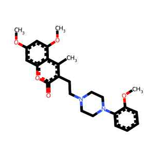 COc1cc(OC)c2c(C)c(CCN3CCN(c4ccccc4OC)CC3)c(=O)oc2c1